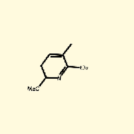 COC1CC=C(C)C(C(C)(C)C)=N1